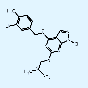 Cc1ccc(CNc2nc(NC[C@H](C)N)nc3c2cnn3C)cc1Cl